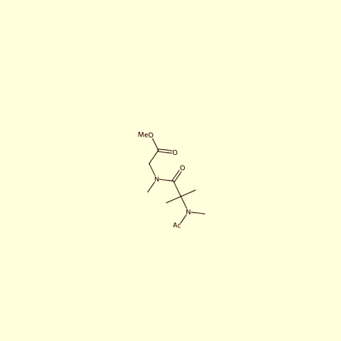 COC(=O)CN(C)C(=O)C(C)(C)N(C)C(C)=O